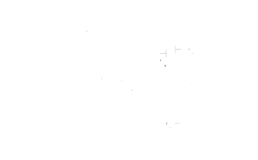 C#Cc1c(/C=C\C)[nH]c2cc3c4c(sc3cc12)CC=CC=C4